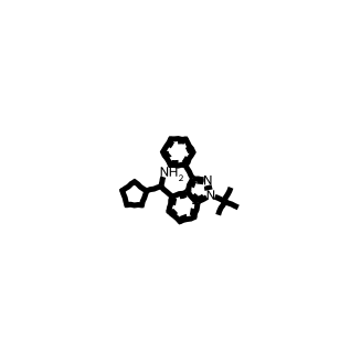 CC(C)(C)n1nc(-c2ccccc2)c2c(C(N)C3CCCC3)cccc21